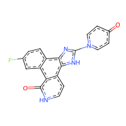 O=c1ccn(-c2nc3c4ccc(F)cc4c4c(=O)[nH]ccc4c3[nH]2)cc1